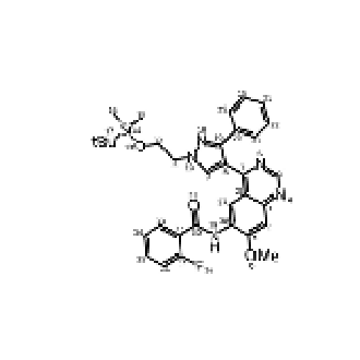 COc1cc2ncnc(-c3cn(CCO[Si](C)(C)C(C)(C)C)nc3-c3ccccc3)c2cc1NC(=O)c1ccccc1F